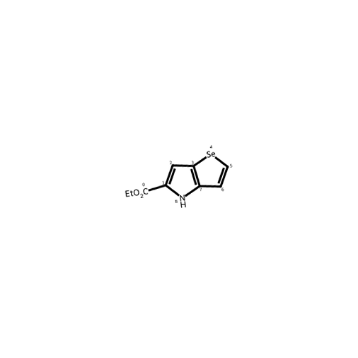 CCOC(=O)c1cc2[se]ccc2[nH]1